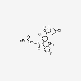 CCCC(=O)OCCOC(=O)N(c1ccc(C(=O)c2ccc(Cl)cc2C)c(Cl)c1)c1ccc(F)cc1C